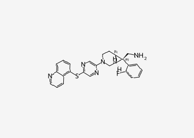 NC[C@]1(c2ccccc2F)[C@@H]2CCN(c3cnc(Sc4cccc5ncccc45)cn3)C[C@@H]21